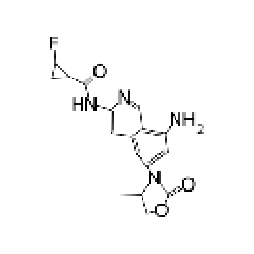 CC1COC(=O)N1c1cc(N)c2cnc(NC(=O)C3CC3F)cc2c1